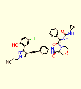 N#CCCn1cc(C#Cc2ccc(NC(=O)[C@@H]3COCCN3C(=O)[C@H](NC(=O)NC3CC3)c3ccccc3)cc2)c(-c2cc(Cl)ccc2O)n1